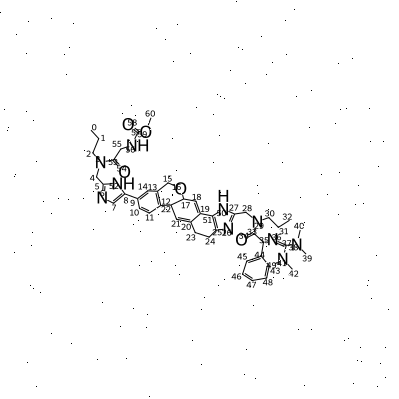 CCCN(Cc1ncc(-c2ccc3c(c2)COC2C=C4C(=CC32)CCc2nc(CN(CCC)C(=O)[C@H](N=C(N(C)C)N(C)C)c3ccccc3)[nH]c24)[nH]1)C(=O)CNC(=O)OC